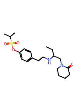 CCC(CN1CCCCC1=O)NCCc1ccc(OS(=O)(=O)C(C)C)cc1